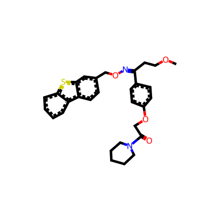 COCCC(=NOCc1ccc2c(c1)sc1ccccc12)c1ccc(OCC(=O)N2CCCCC2)cc1